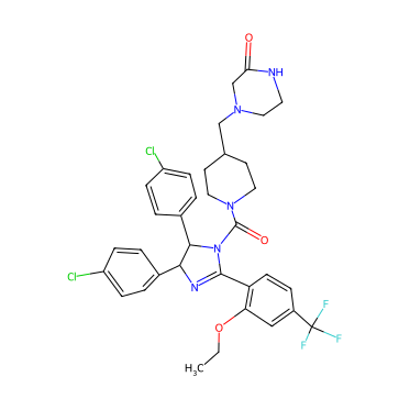 CCOc1cc(C(F)(F)F)ccc1C1=NC(c2ccc(Cl)cc2)C(c2ccc(Cl)cc2)N1C(=O)N1CCC(CN2CCNC(=O)C2)CC1